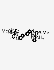 COC[C@H]1C[C@@H](c2nc3ccc4cc(-c5ccc6c(ccc7nc([C@@H]8C[C@H](C)CN8C(=O)[C@@H](NC(=O)OC)C(C)C)[nH]c76)c5)ccc4c3[nH]2)N(C(=O)[C@H](N)c2ccccc2)C1